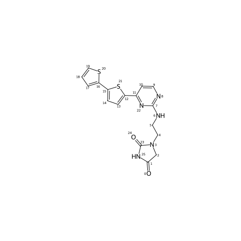 O=C1CN(CCNc2nccc(-c3ccc(-c4cccs4)s3)n2)C(=O)N1